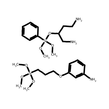 CO[Si](CCCOc1cccc(N)c1)(OC)OC.CO[Si](OC)(OC(CN)CCN)c1ccccc1